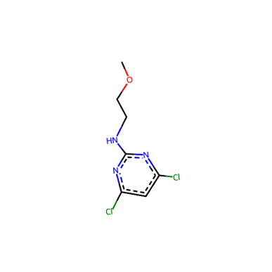 COCCNc1nc(Cl)cc(Cl)n1